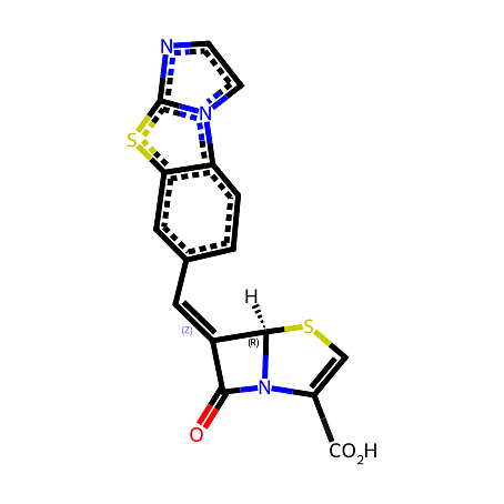 O=C(O)C1=CS[C@@H]2/C(=C\c3ccc4c(c3)sc3nccn34)C(=O)N12